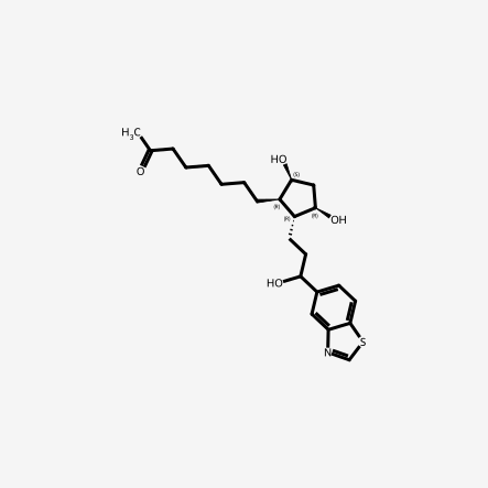 CC(=O)CCCCCC[C@@H]1[C@@H](CCC(O)c2ccc3scnc3c2)[C@H](O)C[C@@H]1O